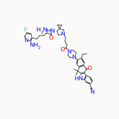 CCc1cc2c(cc1N1CCN(C(=O)CCCN3C[C@H](NC(=O)[C@@H](N)CCCc4cc(F)cnc4N)C4(CC4)C3)CC1)C(C)(C)c1[nH]c3cc(C#N)ccc3c1C2=O